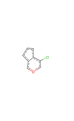 Clc1cocc2cccc1-2